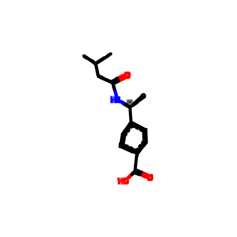 CC(C)CC(=O)N[C@@H](C)c1ccc(C(=O)O)cc1